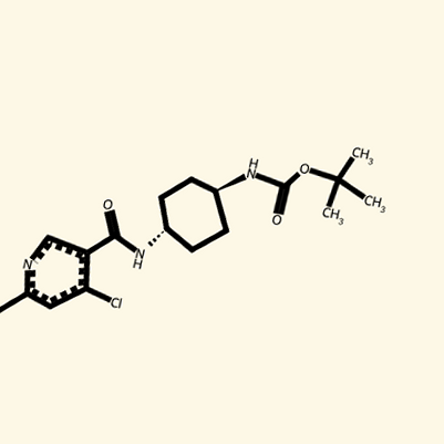 CC(C)(C)OC(=O)N[C@H]1CC[C@H](NC(=O)c2cnc(Cl)cc2Cl)CC1